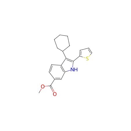 COC(=O)c1ccc2c(C3CCCCC3)c(-c3cccs3)[nH]c2c1